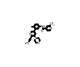 Cc1ccc(NC(=O)c2ccnc(C(F)(F)F)c2)cc1-c1cnc(C#CS)c(N2CCOCC2)c1